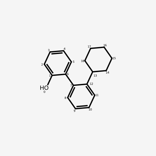 Oc1ccccc1-c1ccccc1C1CCCCC1